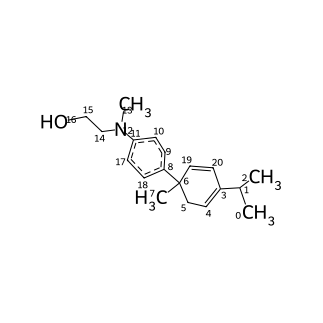 CC(C)C1=CCC(C)(c2ccc(N(C)CCO)cc2)C=C1